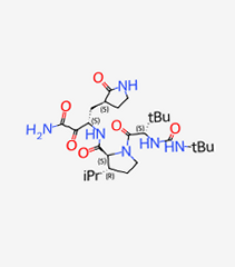 CC(C)[C@H]1CCN(C(=O)[C@@H](NC(=O)NC(C)(C)C)C(C)(C)C)[C@@H]1C(=O)N[C@@H](C[C@@H]1CCNC1=O)C(=O)C(N)=O